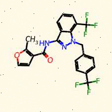 Cc1occc1C(=O)Nc1nn(Cc2ccc(C(F)(F)F)cc2)c2c(C(F)(F)F)cccc12